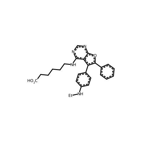 CCNc1ccc(-c2c(-c3ccccc3)oc3ncnc(NCCCCCC(=O)O)c23)cc1